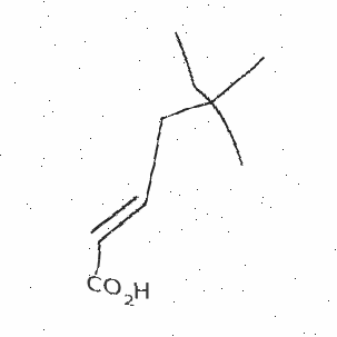 CC(C)(C)C/C=C/C(=O)O